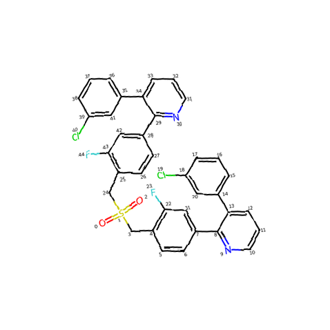 O=S(=O)(Cc1ccc(-c2ncccc2-c2cccc(Cl)c2)cc1F)Cc1ccc(-c2ncccc2-c2cccc(Cl)c2)cc1F